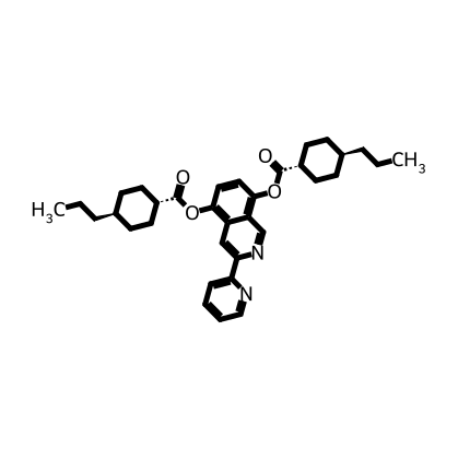 CCC[C@H]1CC[C@H](C(=O)Oc2ccc(OC(=O)[C@H]3CC[C@H](CCC)CC3)c3cc(-c4ccccn4)ncc23)CC1